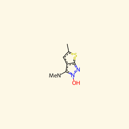 CNc1c2cc(C)sc2nn1O